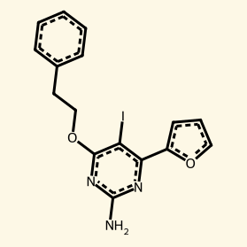 Nc1nc(OCCc2ccccc2)c(I)c(-c2ccco2)n1